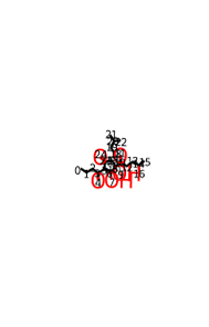 CCCC(=O)C1=C(O)[C@](O)(C(=O)CCC(C)C)[C@@H](CCC(C)C)C1=O